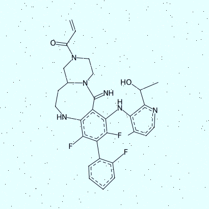 C=CC(=O)N1CCN2C(=N)c3c(c(F)c(-c4ccccc4F)c(F)c3Nc3c(C)ccnc3C(C)O)NCCC2C1